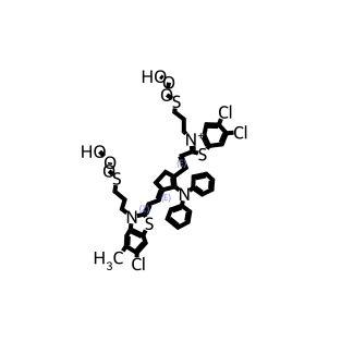 Cc1cc2c(cc1Cl)S/C(=C\C=C1/CCC(/C=C/c3sc4cc(Cl)c(Cl)cc4[n+]3CCCSOOO)=C1N(c1ccccc1)c1ccccc1)N2CCCSOOO